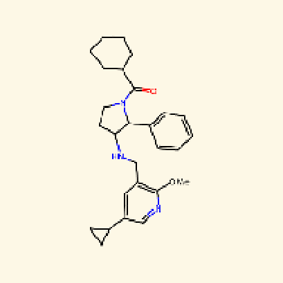 COc1ncc(C2CC2)cc1CNC1CCN(C(=O)C2CCCCC2)C1c1ccccc1